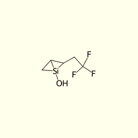 O[Si]12CC1C2CC(F)(F)F